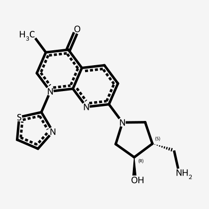 Cc1cn(-c2nccs2)c2nc(N3C[C@H](CN)[C@@H](O)C3)ccc2c1=O